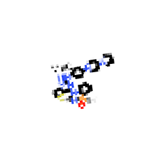 COc1cc(N2CCC(N3CCCC3)CC2)ccc1Nc1nc(Nc2ccccc2P(=O)(C(C)C)C(C)(C)C)c2sccc2n1